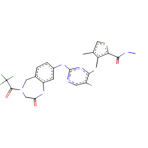 CNC(=O)c1scc(C)c1[AsH]c1nc(Nc2ccc3c(c2)NC(=O)CN(C(=O)C(F)(F)F)C3)ncc1Cl